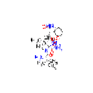 CC(C)(C)C(N)C(=O)N1C[C@H]2C(C)(C)[C@@]2(C(CC2C(=O)Nc3ccccc32)C(N)=O)[C@@]1(C(N)=O)[N+](=O)[O-]